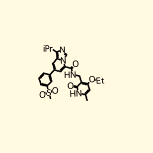 CCOc1cc(C)[nH]c(=O)c1CNC(=O)c1cc(-c2cccc(S(C)(=O)=O)c2)cc2c(C(C)C)ncn12